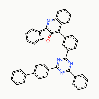 c1ccc(-c2ccc(-c3nc(-c4ccccc4)nc(-c4cccc(-c5c6ccccc6nc6c5oc5ccccc56)c4)n3)cc2)cc1